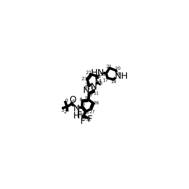 CC(C)(C)C(=O)Nc1cc(-c2cn3nc(NC4CCNCC4)ccc3n2)ccc1C(F)(F)F